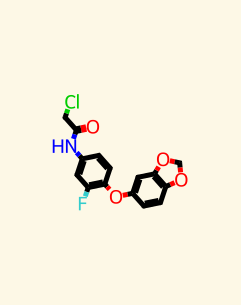 O=C(CCl)Nc1ccc(Oc2ccc3c(c2)OCO3)c(F)c1